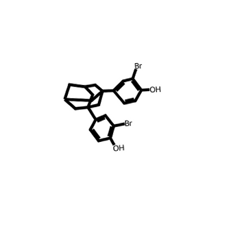 Oc1ccc(C23CC4CC(C2)CC(c2ccc(O)c(Br)c2)(C4)C3)cc1Br